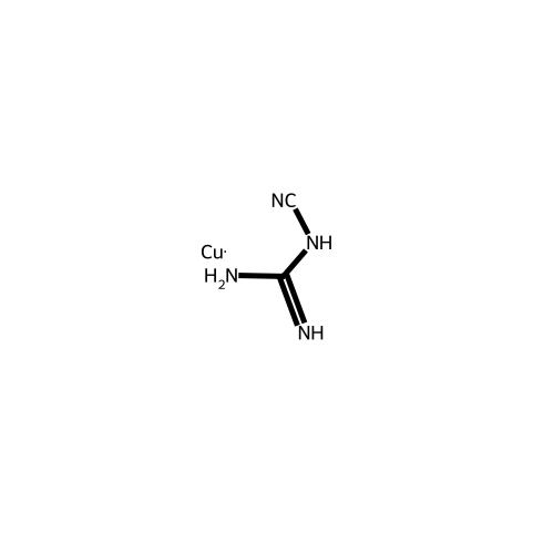 N#CNC(=N)N.[Cu]